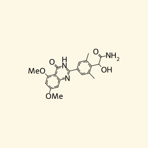 COc1cc(OC)c2c(=O)[nH]c(-c3cc(C)c(C(O)C(N)=O)c(C)c3)nc2c1